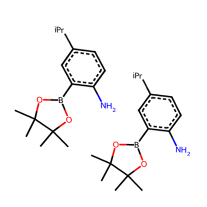 CC(C)c1ccc(N)c(B2OC(C)(C)C(C)(C)O2)c1.CC(C)c1ccc(N)c(B2OC(C)(C)C(C)(C)O2)c1